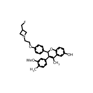 COc1cc(C2=C(C)c3cc(O)ccc3OC2c2ccc(OCCN3CC(CF)C3)cc2)ccc1C